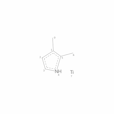 Cc1cc[nH]c1C.[Ti]